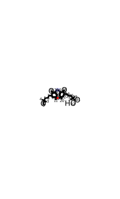 COC(C)(C)CCCC1=CC(C)(C)C=C(/C=C\C2=CC(C)(C)C=C(CCCC(C)(C)C(=O)O)C2=O)C1=O